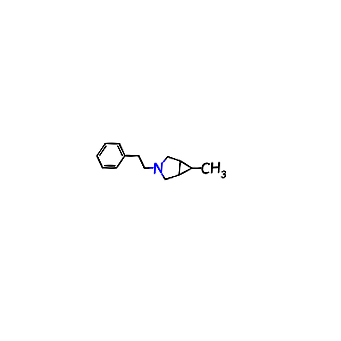 CC1C2CN(CCc3ccccc3)CC12